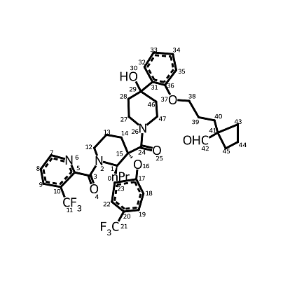 CCC[C@H]1N(C(=O)c2ncccc2C(F)(F)F)CCC[C@@]1(Oc1ccc(C(F)(F)F)cc1)C(=O)N1CCC(O)(c2ccccc2OCCCC2(C=O)CCC2)CC1